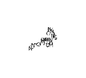 C=C(C(O)C(O)C(=O)NCc1nc(Cn2c(C)nc3ccccc32)cs1)N1CCCC1c1cccc(CN2CCN(C)CC2)c1